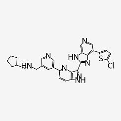 Clc1ccc(-c2cncc3[nH]c(-c4n[nH]c5ccc(-c6cncc(CNCC7CCCC7)c6)nc45)nc23)s1